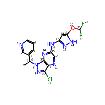 C[C@@H](c1cccnc1)n1nc(Cl)c2ncc(Nc3cc(OC(F)F)[nH]n3)nc21